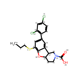 CCCSc1cc(-c2ccc(Cl)cc2Cl)cc2c1OC1CCN(C(=O)O)CC21